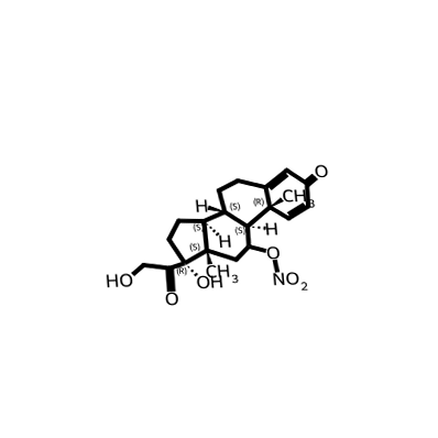 C[C@]12C=CC(=O)C=C1CC[C@@H]1[C@@H]2C(O[N+](=O)[O-])C[C@@]2(C)[C@H]1CC[C@]2(O)C(=O)CO